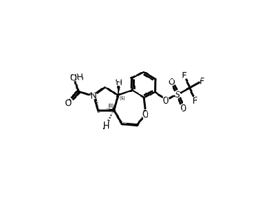 O=C(O)N1C[C@@H]2CCOc3c(OS(=O)(=O)C(F)(F)F)cccc3[C@H]2C1